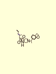 C=C/C=C(\C)CN1C(=O)NC2(CCN(C(C)c3ccc4c(c3)OCC4)CC2)C1=O